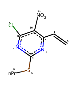 C=Cc1nc(SCCC)nc(Cl)c1[N+](=O)[O-]